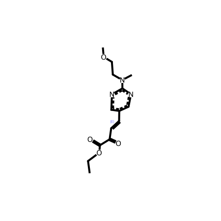 CCOC(=O)C(=O)/C=C/c1cnc(N(C)CCOC)nc1